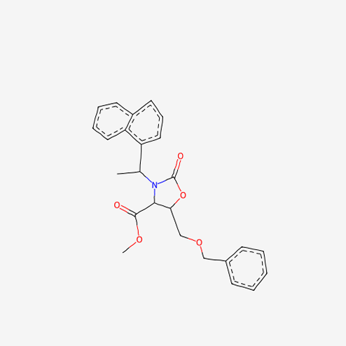 COC(=O)C1C(COCc2ccccc2)OC(=O)N1C(C)c1cccc2ccccc12